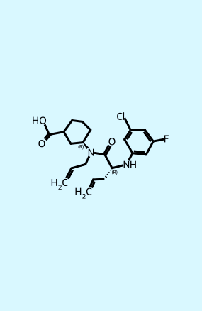 C=CC[C@@H](Nc1cc(F)cc(Cl)c1)C(=O)N(CC=C)[C@@H]1CCCC(C(=O)O)C1